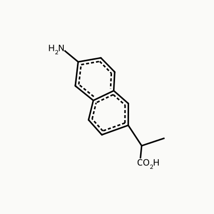 CC(C(=O)O)c1ccc2cc(N)ccc2c1